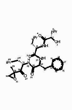 CCC[C@H](O)C(=O)N[C@@H](CC(C)C)C(=O)N[C@@H](Cc1ccccc1)C(=O)N[C@@H](CC(C)C)C(=O)[C@@]1(C)CO1